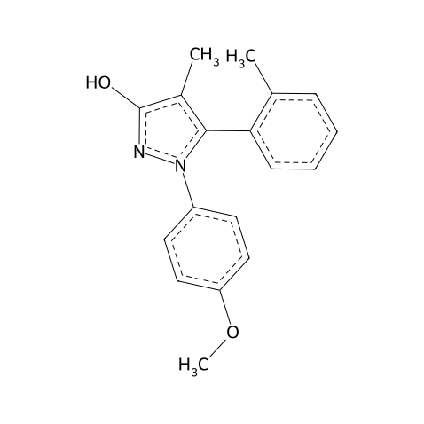 COc1ccc(-n2nc(O)c(C)c2-c2ccccc2C)cc1